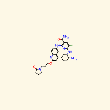 NC(=O)c1cc(F)c(NC2CCCCC2N)nc1Nc1ccc2nc(OCCCN3CCCC3=O)ccc2c1